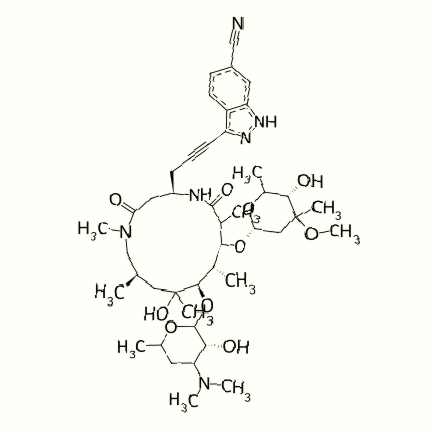 COC1(C)C[C@H](OC2C(C)C(=O)N[C@H](CC#Cc3n[nH]c4cc(C#N)ccc34)CC(=O)N(C)C[C@H](C)CC(C)(O)[C@H](OC3OC(C)CC(N(C)C)[C@H]3O)[C@H]2C)OC(C)[C@@H]1O